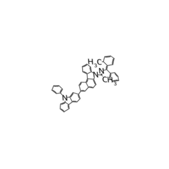 C/C(=N\C(=C1\C=CC=CC1C)c1ccccc1)n1c2ccccc2c2c3ccc(-c4ccc5c6ccccc6n(-c6ccccc6)c5c4)cc3ccc21